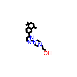 C=C1CCC(C)(C)c2ccc(-c3ccnc(N4CCN(CCCO)CC4)n3)cc21